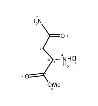 COC(=O)[C@@H](N)CC(N)=O.Cl